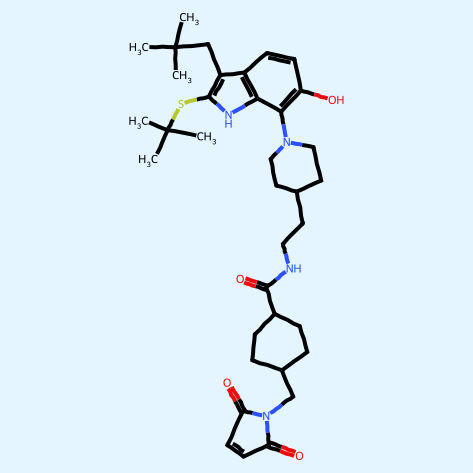 CC(C)(C)Cc1c(SC(C)(C)C)[nH]c2c(N3CCC(CCNC(=O)C4CCC(CN5C(=O)C=CC5=O)CC4)CC3)c(O)ccc12